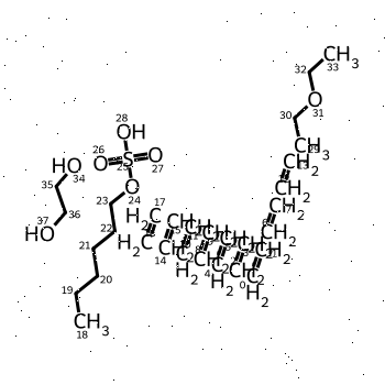 C=C.C=C.C=C.C=C.C=C.C=C.C=C.C=C.C=C.CCCCCCOS(=O)(=O)O.CCOCC.OCCO